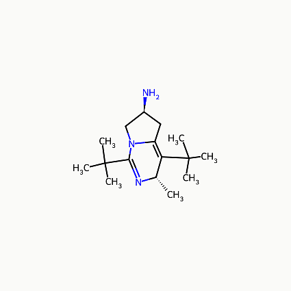 C[C@@H]1N=C(C(C)(C)C)N2C[C@@H](N)CC2=C1C(C)(C)C